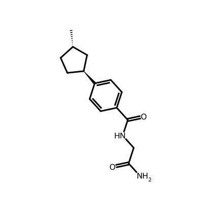 C[C@H]1CC[C@H](c2ccc(C(=O)NCC(N)=O)cc2)C1